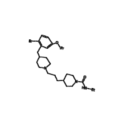 CCNC(=O)N1CCC(CCCN2CCC(Cc3cc(OC(C)C)ccc3Br)CC2)CC1